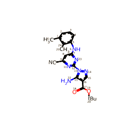 Cc1cccc(Nc2cc(C#N)nc(-n3ncc(C(=O)OC(C)(C)C)c3N)n2)c1C